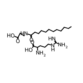 CCCCCCCCCCCC(=O)NCCC(=O)O.N=C(N)NCCCC(N)C(=O)O